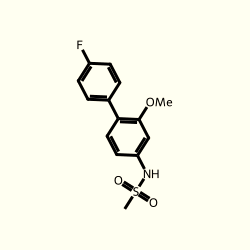 COc1cc(NS(C)(=O)=O)ccc1-c1ccc(F)cc1